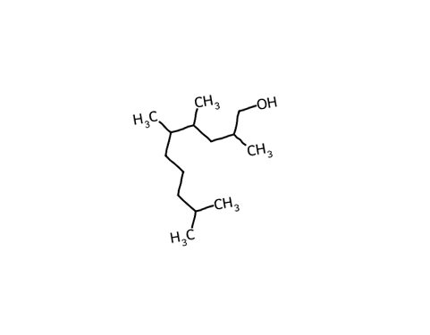 CC(C)CCCC(C)C(C)CC(C)CO